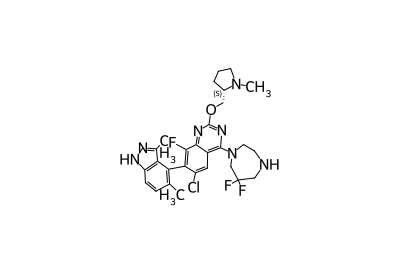 Cc1ccc2[nH]nc(C)c2c1-c1c(Cl)cc2c(N3CCNCC(F)(F)C3)nc(OC[C@@H]3CCCN3C)nc2c1F